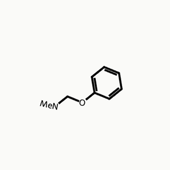 CNCOc1ccccc1